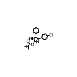 CN(C)C(=O)Oc1nc(-c2ccc(Cl)cc2)c(-c2ccccc2)[nH]1